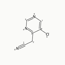 N#CCc1ncncc1Cl